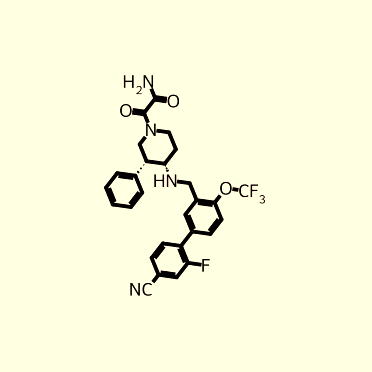 N#Cc1ccc(-c2ccc(OC(F)(F)F)c(CN[C@H]3CCN(C(=O)C(N)=O)C[C@H]3c3ccccc3)c2)c(F)c1